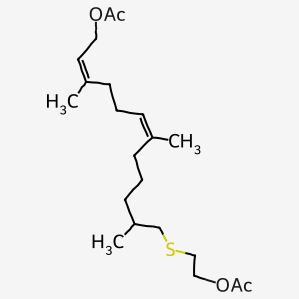 CC(=O)OCC=C(C)CCC=C(C)CCCC(C)CSCCOC(C)=O